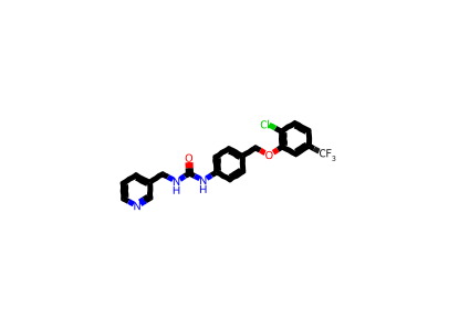 O=C(NCc1cccnc1)Nc1ccc(COc2cc(C(F)(F)F)ccc2Cl)cc1